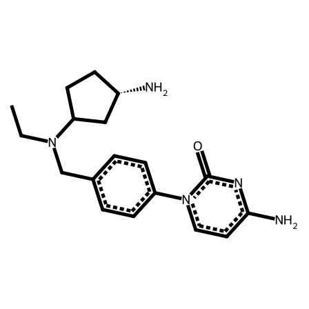 CCN(Cc1ccc(-n2ccc(N)nc2=O)cc1)C1CC[C@H](N)C1